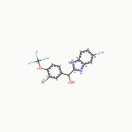 OC(c1ccc(OC(F)(F)F)c(Br)c1)c1nc2cc(F)ccc2[nH]1